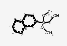 CO[Si](CO)(OC)c1ccc2ccccc2c1